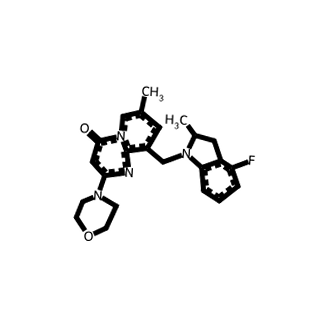 Cc1cc(CN2c3cccc(F)c3CC2C)c2nc(N3CCOCC3)cc(=O)n2c1